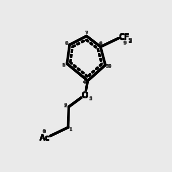 CC(=O)CCOc1cccc(C(F)(F)F)c1